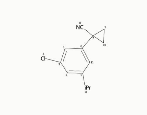 CC(C)c1cc(Cl)cc(C2(C#N)CC2)c1